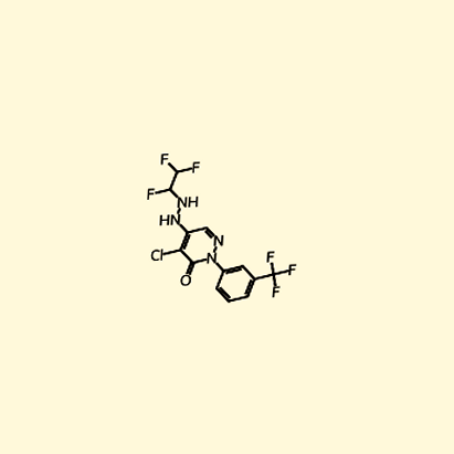 O=c1c(Cl)c(NNC(F)C(F)F)cnn1-c1cccc(C(F)(F)F)c1